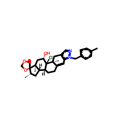 Cc1ccc(Cn2ncc3c2C=C2CC[C@H]4[C@@H]5C[C@H](C)[C@@]6(OCOC67COCO7)[C@@]5(C)C[C@H](O)[C@]4(Cl)[C@@]2(C)C3)cc1